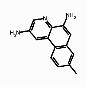 Cc1ccc2c(c1)cc(N)c1ncc(N)cc12